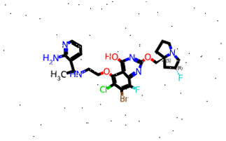 CC(NCCOc1c(Cl)c(Br)c(F)c2nc(OC[C@@]34CCCN3C[C@H](F)C4)nc(O)c12)c1cccnc1N